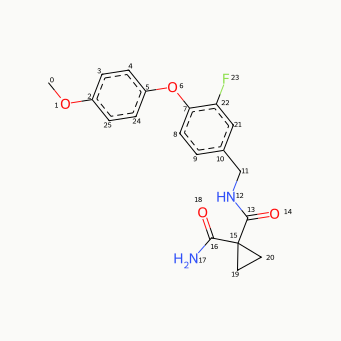 COc1ccc(Oc2ccc(CNC(=O)C3(C(N)=O)CC3)cc2F)cc1